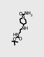 CC(C)(C)OC(=O)NCCNC1CCN(C(N)=O)CC1